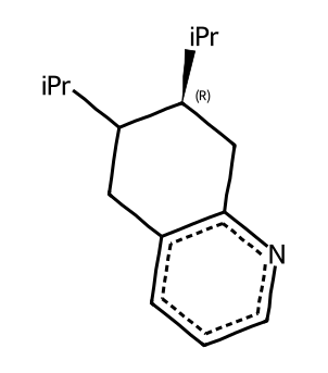 CC(C)C1Cc2cccnc2C[C@@H]1C(C)C